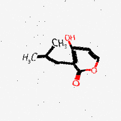 CC(C)Cc1c(O)ccoc1=O